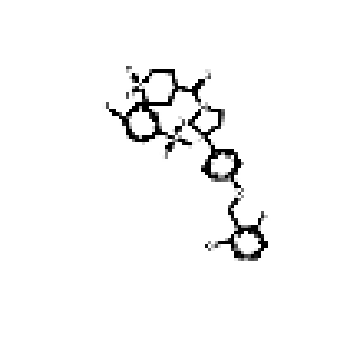 O=C(C1CCS(=O)(=O)CC1)N1CC[C@@](CS(=O)(=O)c2ccc(F)cc2)(c2ccc(OCc3c(Cl)cccc3Cl)cc2)C1